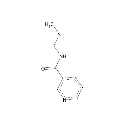 CSCNC(=O)c1cccnc1